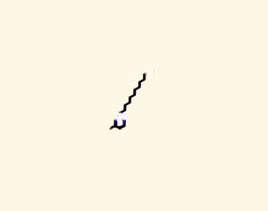 CCCCCCCCCCCC[n+]1cccc(C(C)C)c1